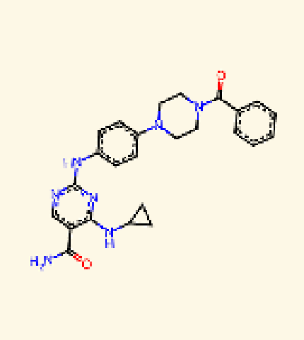 NC(=O)c1cnc(Nc2ccc(N3CCN(C(=O)c4ccccc4)CC3)cc2)nc1NC1CC1